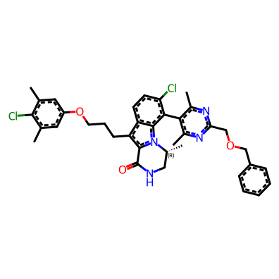 Cc1cc(OCCCc2c3n(c4c(-c5c(C)nc(COCc6ccccc6)nc5C)c(Cl)ccc24)[C@H](C)CNC3=O)cc(C)c1Cl